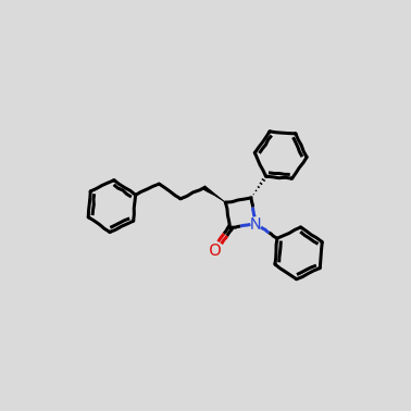 O=C1[C@@H](CCCc2ccccc2)[C@H](c2ccccc2)N1c1ccccc1